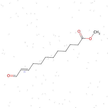 COC(=O)CCCCCCCC/C=C/C=O